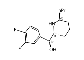 CCC[C@H]1CCC[C@H]([C@@H](O)c2ccc(F)c(F)c2)N1